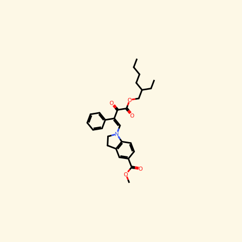 CCCCC(CC)COC(=O)C(=O)/C(=C/N1CCc2cc(C(=O)OC)ccc21)c1ccccc1